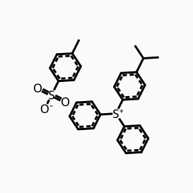 CC(C)c1ccc([S+](c2ccccc2)c2ccccc2)cc1.Cc1ccc(S(=O)(=O)[O-])cc1